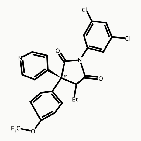 CCC1C(=O)N(c2cc(Cl)cc(Cl)c2)C(=O)[C@@]1(c1ccncc1)c1ccc(OC(F)(F)F)cc1